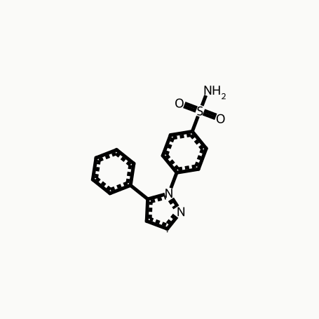 NS(=O)(=O)c1ccc(-n2n[c]cc2-c2ccccc2)cc1